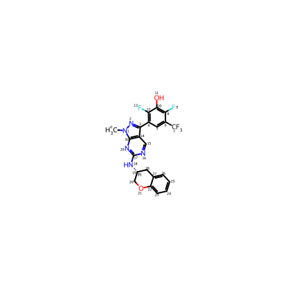 Cn1nc(-c2cc(C(F)(F)F)c(F)c(O)c2F)c2cnc(N[C@H]3COc4ccccc4C3)nc21